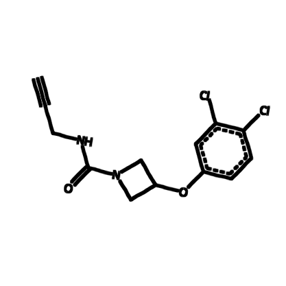 C#CCNC(=O)N1CC(Oc2ccc(Cl)c(Cl)c2)C1